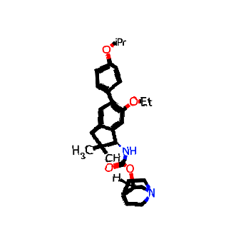 CCOc1cc2c(cc1-c1ccc(OC(C)C)cc1)CC(C)(C)[C@H]2NC(=O)O[C@@H]1CN2CCC1CC2